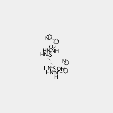 N=C(CCCCC(=N)SC(=N)NC(O)Cc1cccc(-c2cccnc2)c1)SC(=N)NC(=O)Cc1cccc(-c2cccnc2)c1